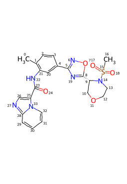 Cc1ccc(-c2noc([C@H]3COCCN3S(C)(=O)=O)n2)cc1NC(=O)c1cnc2ccccn12